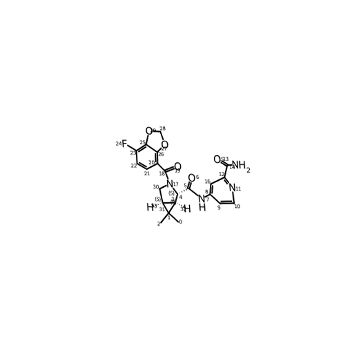 CC1(C)[C@@H]2[C@@H](C(=O)Nc3ccnc(C(N)=O)c3)N(C(=O)c3ccc(F)c4c3OCO4)C[C@@H]21